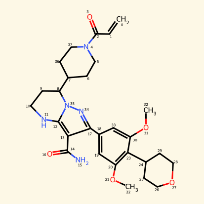 C=CC(=O)N1CCC(C2CCNc3c(C(N)=O)c(-c4cc(OC)c(C5CCOCC5)c(OC)c4)nn32)CC1